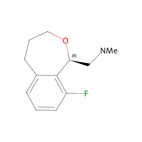 CNC[C@@H]1OCCCc2cccc(F)c21